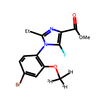 [2H]C([2H])([2H])Oc1cc(Br)ccc1-n1c(CC)nc(C(=O)OC)c1F